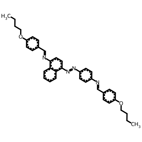 CCCCOc1ccc(C=Nc2ccc(N=Nc3ccc(N=Cc4ccc(OCCCC)cc4)c4ccccc34)cc2)cc1